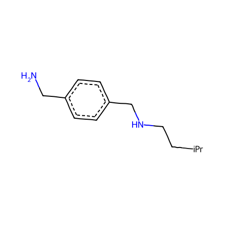 CC(C)CCNCc1ccc(CN)cc1